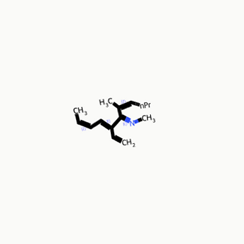 C=CC(=C\C=C/C)/C(=N/C)C(/C)=C\CCC